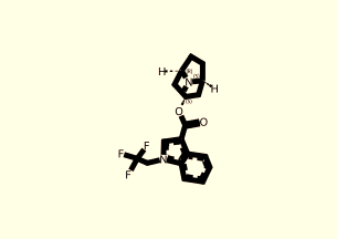 CN1[C@@H]2CC[C@H]1C[C@H](OC(=O)c1cn(CC(F)(F)F)c3ccccc13)C2